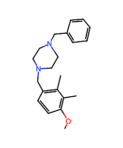 COc1ccc(CN2CCN(Cc3ccccc3)CC2)c(C)c1C